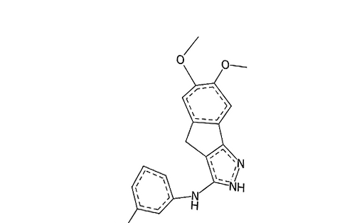 COc1cc2c(cc1OC)-c1n[nH]c(Nc3cccc(Br)c3)c1C2